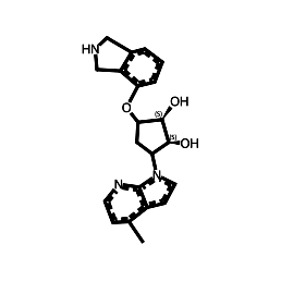 Cc1ccnc2c1ccn2C1CC(Oc2cccc3c2CNC3)[C@@H](O)[C@H]1O